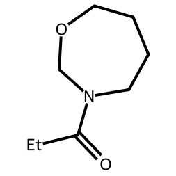 CCC(=O)N1CCCCOC1